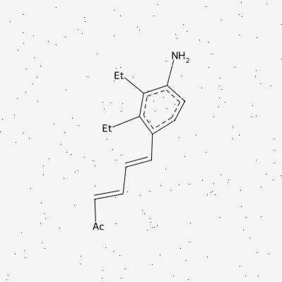 CCc1c(N)ccc(C=CC=CC(C)=O)c1CC